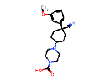 COc1cccc(C2(C#N)CCC(N3CCN(C(=O)O)CC3)CC2)c1